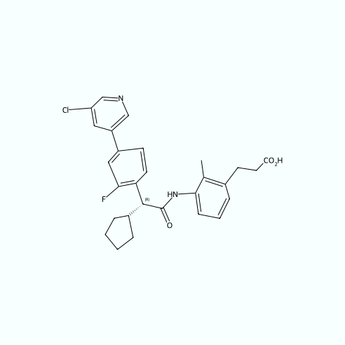 Cc1c(CCC(=O)O)cccc1NC(=O)[C@@H](c1ccc(-c2cncc(Cl)c2)cc1F)C1CCCC1